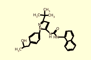 CC(O)Cc1ccc(-n2nc(C(C)(C)C)cc2NC(=O)Nc2cccc3ccccc23)cc1